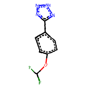 FC(F)Oc1ccc(-c2nn[nH]n2)cc1